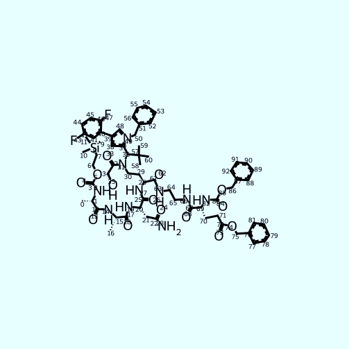 C[C@H](NC(=O)OCC[Si](C)(C)C)C(=O)N[C@@H](C)C(=O)N[C@@H](CC(N)=O)C(=O)N[C@@H](CCN(C(=O)CO)[C@@H](c1cc(-c2cc(F)ccc2F)cn1Cc1ccccc1)C(C)(C)C)C(=O)NCCNC(=O)[C@@H](CCC(=O)OCc1ccccc1)NC(=O)OCc1ccccc1